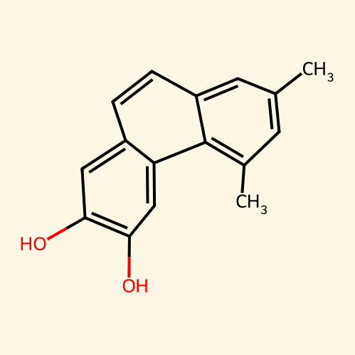 Cc1cc(C)c2c(ccc3cc(O)c(O)cc32)c1